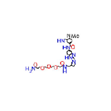 CNC1=CC=C(C(=O)Nc2ccc3[nH]c(CN4CCC(CCNC(=O)CCOCCOCCOCCC(N)=O)C4)nc3c2)CC1C=N